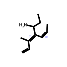 C=C/C(C)=C(\C=C/C)C(N)CC